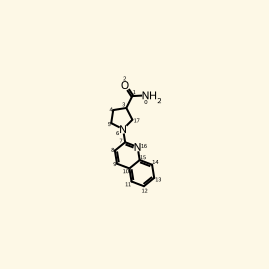 NC(=O)C1CCN(c2ccc3ccccc3n2)C1